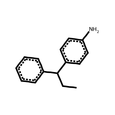 CCC(c1ccccc1)c1ccc(N)cc1